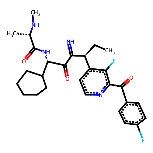 CC[C@H](C(=N)C(=O)[C@@H](NC(=O)[C@H](C)NC)C1CCCCC1)c1ccnc(C(=O)c2ccc(F)cc2)c1F